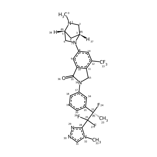 CN1C[C@H]2C[C@@H]1CN2c1cc2c(c(C(F)(F)F)c1)CN(c1cccc([C@@](C)(F)C(F)(F)c3nncn3C)c1)C2=O